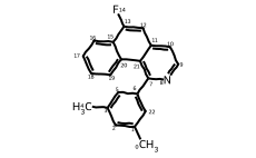 Cc1cc(C)cc(-c2nccc3cc(F)c4ccccc4c23)c1